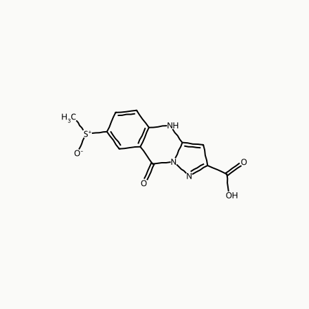 C[S+]([O-])c1ccc2[nH]c3cc(C(=O)O)nn3c(=O)c2c1